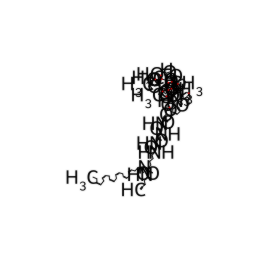 C#CCCCNC(=O)[C@H](CCCCNC(=O)CNC(=O)CNC(=O)CNC(=O)COCC(=O)O[C@@H](C(=O)O[C@H]1C[C@@]2(O)[C@@H](OC(=O)c3ccccc3)[C@@H]3[C@]4(OC(C)=O)CO[C@@H]4C[C@H](O)[C@@]3(C)C(=O)[C@H](OC(C)=O)C(=C1C)C2(C)C)C(NC(=O)c1ccccc1)c1ccccc1)NC(=O)CC/C=C\C/C=C\C/C=C\C/C=C\C/C=C\C/C=C\CC